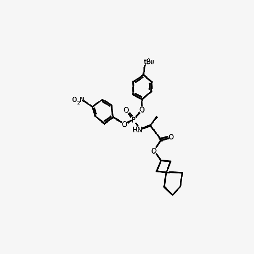 C[C@H](NP(=O)(Oc1ccc([N+](=O)[O-])cc1)Oc1ccc(C(C)(C)C)cc1)C(=O)OC1CC2(CCCC2)C1